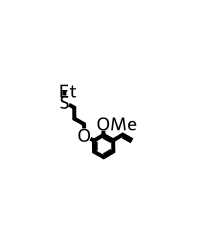 C=Cc1cccc(OCCCSCC)c1OC